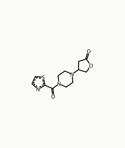 O=C1CC(N2CCN(C(=O)c3nccs3)CC2)CO1